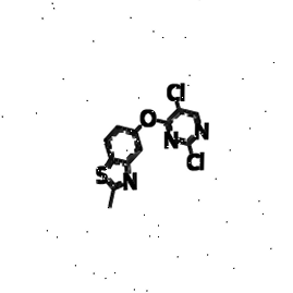 Cc1nc2cc(Oc3nc(Cl)ncc3Cl)ccc2s1